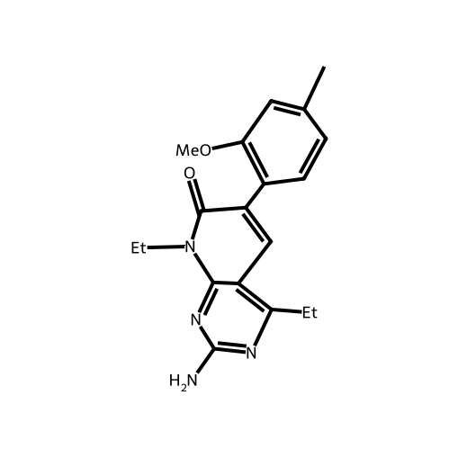 CCc1nc(N)nc2c1cc(-c1ccc(C)cc1OC)c(=O)n2CC